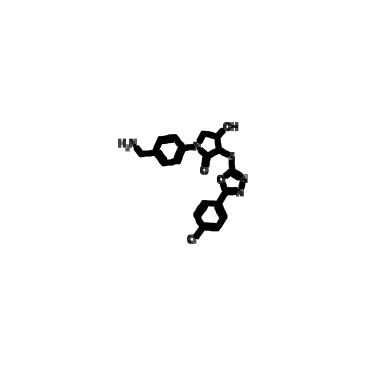 NCc1ccc(N2CC(O)C(Sc3nnc(-c4ccc(Cl)cc4)o3)C2=O)cc1